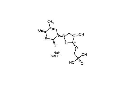 Cc1cn([C@H]2C[C@H](O)[C@@H](OCP(=O)(O)O)O2)c(=O)[nH]c1=O.[NaH].[NaH]